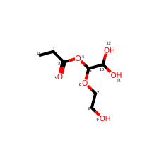 CCC(=O)OC(OCCO)C(O)O